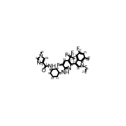 Cn1cnc(C(=O)N[C@H]2CCC[C@@H](Nc3nc(-c4cn(SI)c5c(F)cc(F)cc45)c(C(F)(F)F)cc3F)C2)c1